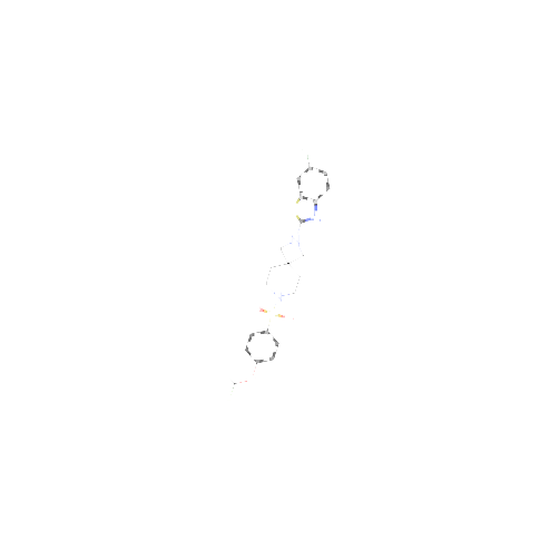 O=S(=O)(c1ccc(OC(F)F)cc1)N1CCC2(CC1)CN(c1nc3ccc(Cl)cc3s1)C2